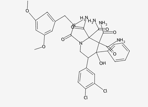 COc1cc(CN(C)C(=O)N2CC(c3ccc(Cl)c(Cl)c3)C(O)(c3ccccc3)C(C(N)=O)(C(N)=O)C2(C(N)=O)C(N)=O)cc(OC)c1